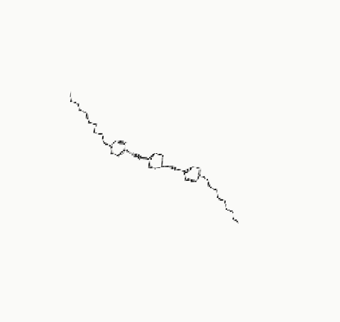 CCCCCCCCCCc1ccc(C#Cc2ccc(C#Cc3ccc(CCCCCCCCC)cc3)cc2)cc1